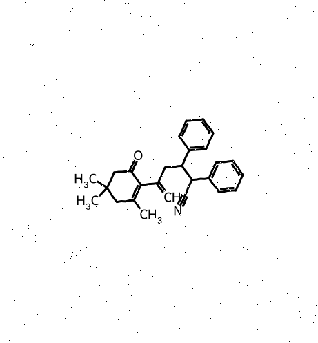 C=C(CC(c1ccccc1)C(C#N)c1ccccc1)C1=C(C)CC(C)(C)CC1=O